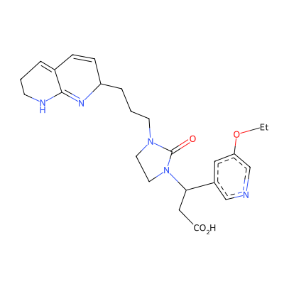 CCOc1cncc(C(CC(=O)O)N2CCN(CCCC3C=CC4=CCCNC4=N3)C2=O)c1